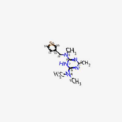 CC1N=C(N(C)C)NC(N(C)Cc2ccsc2)=N1